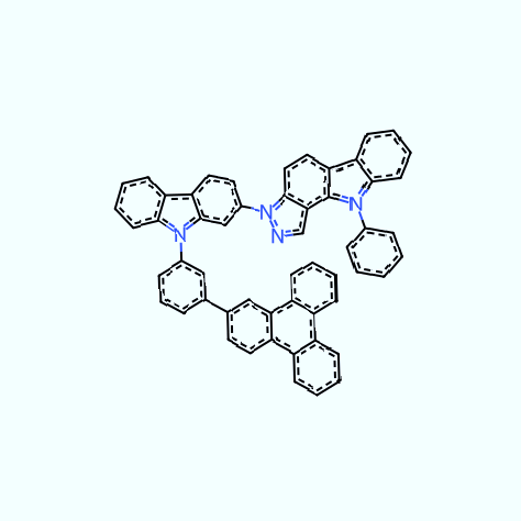 c1ccc(-n2c3ccccc3c3ccc4c(cnn4-c4ccc5c6ccccc6n(-c6cccc(-c7ccc8c9ccccc9c9ccccc9c8c7)c6)c5c4)c32)cc1